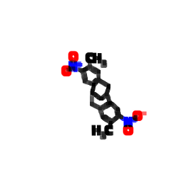 Cc1cc2c(cc1[N+](=O)[O-])C1Cc3cc(C)c([N+](=O)[O-])cc3C(C2)C1